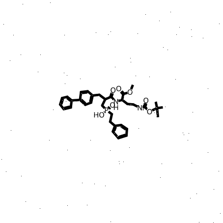 COC(=O)C(CCNC(=O)OC(C)(C)C)NC(=O)C(Cc1ccc(-c2ccccc2)cc1)CP(=O)(O)CCc1ccccc1